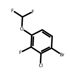 Fc1c(OC(F)F)ccc(Br)c1Cl